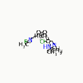 CCC(CC)(CC)NCc1cc(Cl)c(CCc2cccc(-c3cccc(CCCCN4CCC(C)(F)C4)c3C)c2C)cc1CC#N